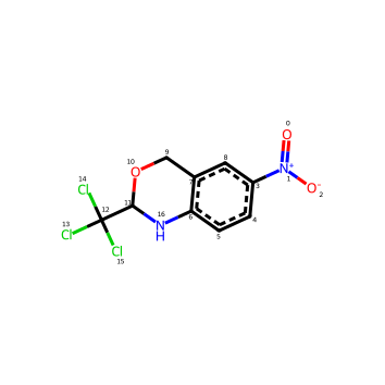 O=[N+]([O-])c1ccc2c(c1)COC(C(Cl)(Cl)Cl)N2